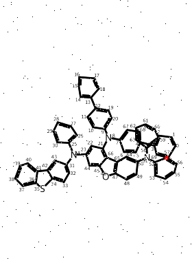 c1ccc(-c2ccc(N(c3ccc(-c4ccccc4)cc3)c3cc(N(c4ccccc4)c4ccc5sc6ccccc6c5c4)cc4oc5ccc(N(c6ccccc6)c6ccccc6)cc5c34)cc2)cc1